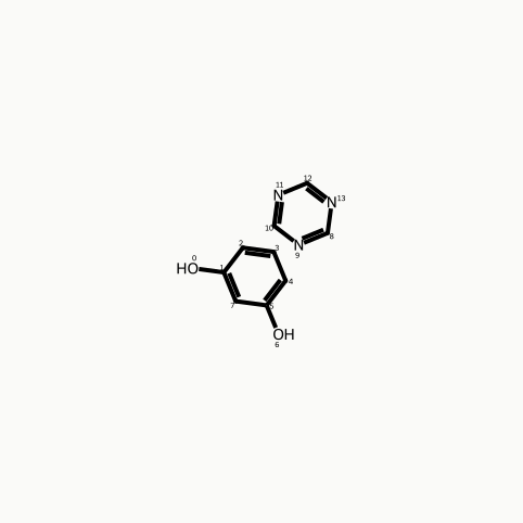 Oc1cccc(O)c1.c1ncncn1